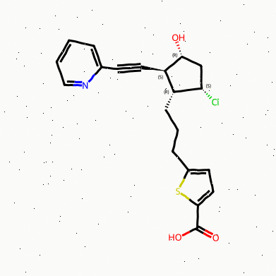 O=C(O)c1ccc(CCC[C@@H]2[C@@H](C#Cc3ccccn3)[C@H](O)C[C@@H]2Cl)s1